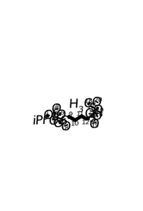 CC(C)OS(=O)(=O)OS(=O)(=O)CCCCS(=O)(=O)OS(C)(=O)=O